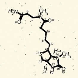 CN(CCC(N)=O)C(=O)CCCC[C@@H]1SC[C@@H]2NC(=O)N(C)[C@@H]21